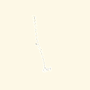 C=C.CCCCCCCCCCCCCCCCCCCCCCCCCCCCCCCCCCO